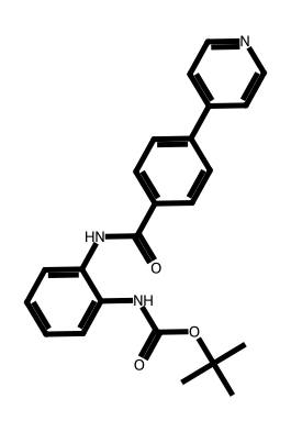 CC(C)(C)OC(=O)Nc1ccccc1NC(=O)c1ccc(-c2ccncc2)cc1